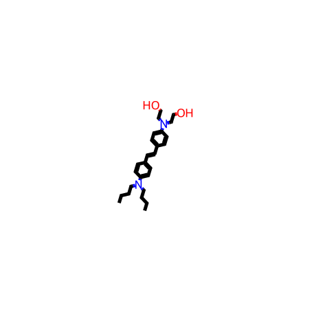 CCCCN(CCCC)c1ccc(/C=C/c2ccc(N(CCO)CCO)cc2)cc1